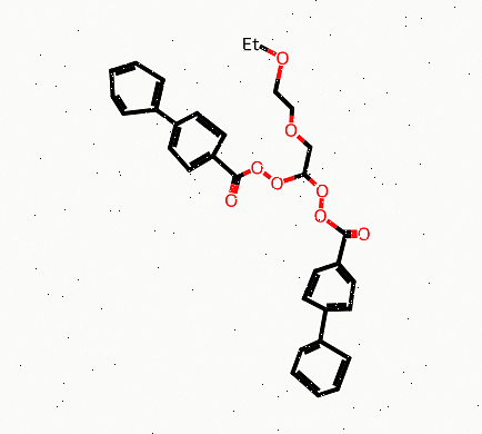 [CH2]COCCOC[C](OOC(=O)c1ccc(-c2ccccc2)cc1)OOC(=O)c1ccc(-c2ccccc2)cc1